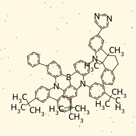 CC(C)(C)c1ccc(N2c3cc(N4c5ccc(-c6cncnc6)cc5C5(C)CCc6ccccc6C45C)ccc3B3c4ccc(-c5ccccc5)cc4N(c4ccc(C(C)(C)C)cc4-c4ccccc4)c4cc(C(C)(C)C)cc2c43)cc1